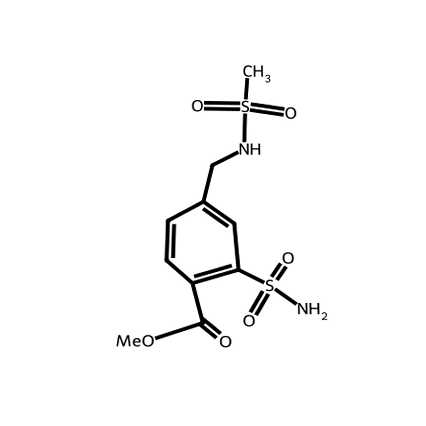 COC(=O)c1ccc(CNS(C)(=O)=O)cc1S(N)(=O)=O